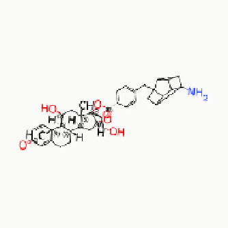 C[C@]12C=CC(=O)C=C1CC[C@@H]1[C@@H]2[C@@H](O)C[C@@]2(C)[C@H]1C[C@H]1O[C@@H](c3ccc(CC45CC6C4C4C7C5C7C64N)cc3)O[C@]12C(=O)CO